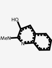 CNc1nc2ccccc2cc1O